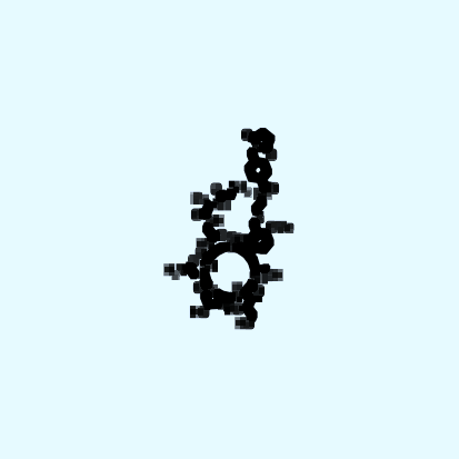 CC[C@H](C)[C@@H](NC(=O)CN)C(=O)NCC(=O)N[C@H]1C[S+]([O-])c2[nH]c3c(CSCCNC(=O)C4CCC(CN5C(=O)C=CC5=O)CC4)c(OC)ccc3c2C[C@@H](CO)NC(=O)[C@H]([C@@H](C)[C@@H](O)CO)NC(=O)[C@H]2C[C@@H](O)CN2C(=O)[C@H](CC(N)=O)NC1=O